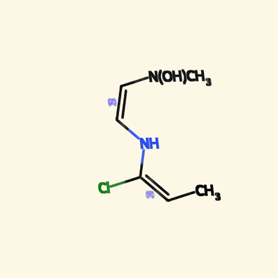 C/C=C(/Cl)N/C=C\N(C)O